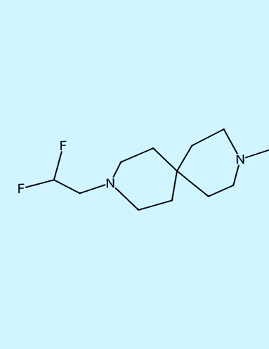 CN1CCC2(CC1)CCN(CC(F)F)CC2